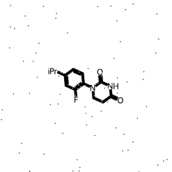 CC(C)c1ccc(N2CCC(=O)NC2=O)c(F)c1